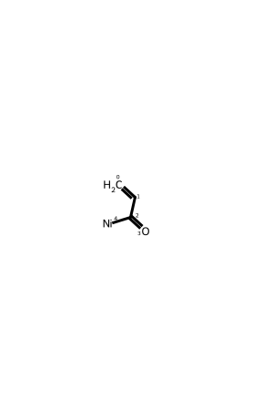 C=C[C](=O)[Ni]